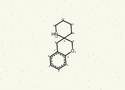 [C]1Oc2ccccc2CC12CCCCN2